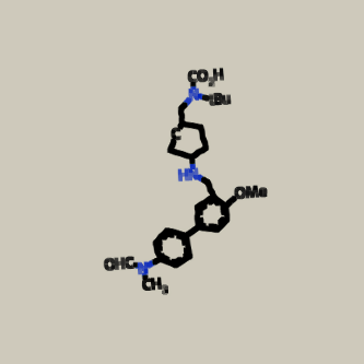 COc1ccc(-c2ccc(N(C)C=O)cc2)cc1CNC1CCC(CN(C(=O)O)C(C)(C)C)CC1